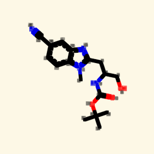 Cn1c(CC(CO)NC(=O)OC(C)(C)C)nc2cc(C#N)ccc21